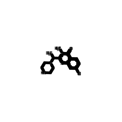 CC(c1nc2cc(Cl)ccc2c(=O)n1C)N1CCNCC1